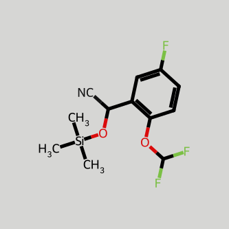 C[Si](C)(C)OC(C#N)c1cc(F)ccc1OC(F)F